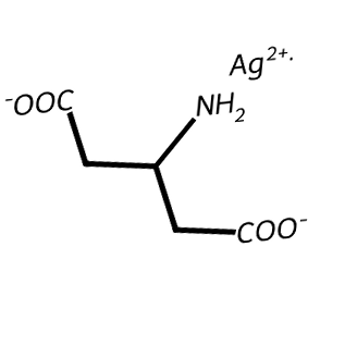 NC(CC(=O)[O-])CC(=O)[O-].[Ag+2]